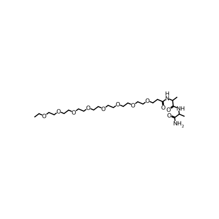 CCOCCOCCOCCOCCOCCOCCOCCOCCC(=O)NC(C)C(=O)NC(C)C(N)=O